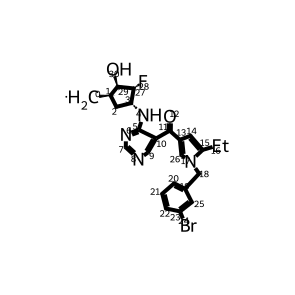 [CH2][C@@H]1C[C@@H](Nc2ncncc2C(=O)c2cc(CC)n(Cc3cccc(Br)c3)c2)[C@@H](F)[C@@H]1O